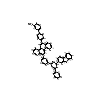 N#Cc1cccc(-c2ccc(-c3cc4c5cccnc5c(-c5cccc(-c6nc(-c7ccccc7)nc(-c7ccc8c(c7)oc7ccccc78)n6)c5)cc4c4ccccc34)cc2)c1